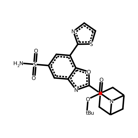 CC(C)(C)OC(=O)N1C2CC1CN(c1nc3cc(S(N)(=O)=O)cc(-c4nccs4)c3o1)C2